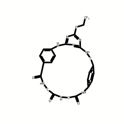 O=C1CNC(=O)c2ccc(cc2)Nc2nc(nc(OCC(F)(F)F)n2)NCc2ccc(cc2)NC(=O)CN1